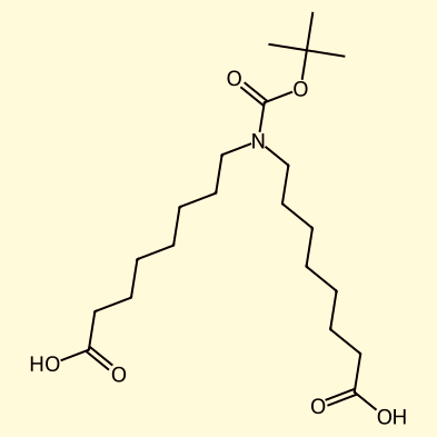 CC(C)(C)OC(=O)N(CCCCCCCC(=O)O)CCCCCCCC(=O)O